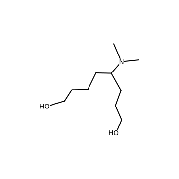 CN(C)C(CCCO)CCCCO